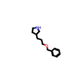 c1ccc(COCCCC2CCNC2)cc1